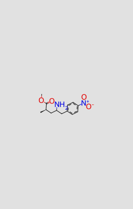 COC(=O)[C@H](C)CC(N)Cc1ccc([N+](=O)[O-])cc1